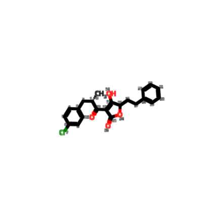 C[C@@H](Cc1ccc(Cl)cc1)C(=O)C1=C(O)C(CCc2ccccc2)OC1=O